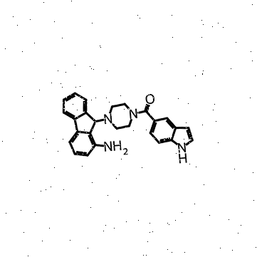 Nc1cccc2c1C(N1CCN(C(=O)c3ccc4[nH]ccc4c3)CC1)c1ccccc1-2